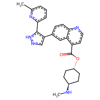 CN[C@H]1CC[C@H](OC(=O)c2ccnc3ccc(-c4cn[nH]c4-c4cccc(C)n4)cc23)CC1